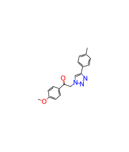 COc1ccc(C(=O)Cn2cc(-c3ccc(C)cc3)nn2)cc1